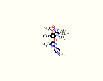 COC1(C(=O)O)C(NS(C)(=O)=O)c2cc(C(C)(C)C)cc(Oc3cc(C)nc(N4CCN(C)CC4)n3)c2N1C